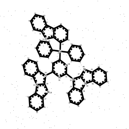 c1ccc([Si](c2ccccc2)(c2cc(-n3c4ccccc4n4c5ccccc5nc34)nc(-n3c4ccccc4n4c5ccccc5nc34)n2)c2cccc3c2oc2ccccc23)cc1